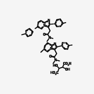 Cc1ccc(-c2nc3ccc(C)cn3c2CC(=O)N(C)C)cc1.Cc1ccc(-c2nc3ccc(C)cn3c2CC(=O)N(C)C)cc1.Cc1ccccc1.O=C(O)C(O)C(O)C(=O)O